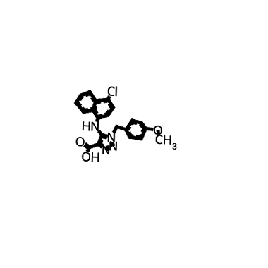 COc1ccc(Cn2nnc(C(=O)O)c2Nc2ccc(Cl)c3ccccc23)cc1